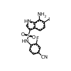 N#Cc1ccc(NS(=O)(=O)c2c[nH]c3c(N)c(I)ccc23)c(F)c1